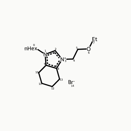 CCCCCCn1c[n+](CCOCC)c2c1CCCC2.[Br-]